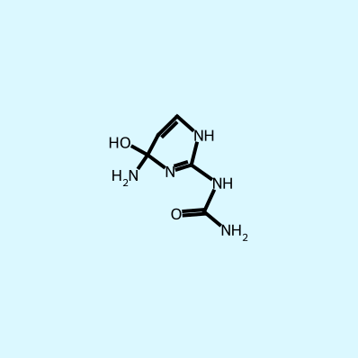 NC(=O)NC1=NC(N)(O)C=CN1